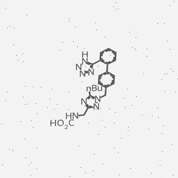 CCCCc1nc(CNC(=O)O)nn1Cc1ccc(-c2ccccc2-c2nnn[nH]2)cc1